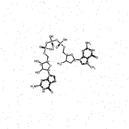 CC1C[C@H](n2c[n+](C)c3c(=O)[nH]c(N)nc32)O[C@@H]1COP(=O)(O)OP(=O)(O)OP(=O)(O)OC[C@H]1O[C@@H](n2cnc3c(=O)[nH]c(N)nc32)C(O)[C@H]1O